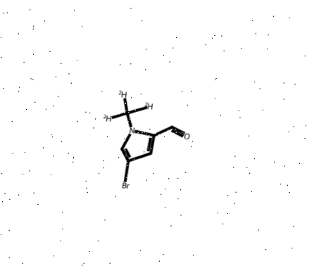 [2H]C([2H])([2H])n1cc(Br)cc1C=O